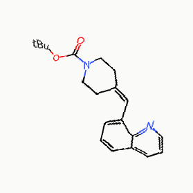 CC(C)(C)OC(=O)N1CCC(=Cc2cccc3cccnc23)CC1